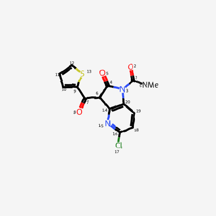 CNC(=O)N1C(=O)C(C(=O)c2cccs2)c2nc(Cl)ccc21